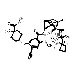 COc1cc(C#N)c(O[C@H]2CC[C@@](C)(C(=O)OC)CC2)cc1C(=O)N[C@H]1C2C3C[C@H]([C@@H]2C(=O)NCC2(C)CCC2)N(C(=O)OC(C)(C)C)C31